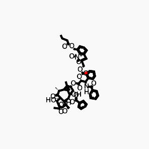 CCCC(=O)OCc1cccc(/C=C/COC(=O)O[C@@H](C(=O)OC2C[C@@]3(O)[C@@H](OC(=O)c4ccccc4)[C@H]4[C@](C)(C(=O)[C@H](C)C(=C2C)C3(C)C)[C@@H](O)CC2OC[C@]24OC(C)=O)C(NC(=O)c2ccccc2)c2ccccc2)c1[N+](=O)[O-]